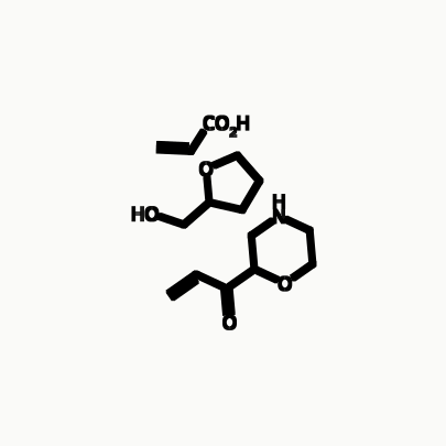 C=CC(=O)C1CNCCO1.C=CC(=O)O.OCC1CCCO1